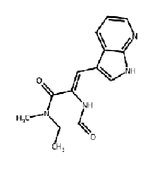 CCN(C)C(=O)/C(=C/c1c[nH]c2ncccc12)NC=O